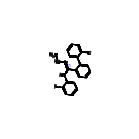 NN/N=C(\Nc1ccccc1F)c1ccccc1-c1ccccc1Cl